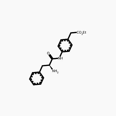 CCOC(=O)Cc1ccc(NC(=O)[C@@H](N)Cc2ccccc2)cc1